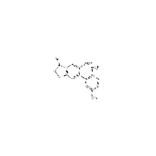 COc1cc2c(cc1-c1cc(C)ccc1S(=O)(=O)O)COC2=O